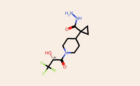 NNC(=O)C1(C2CCN(C(=O)[C@@H](O)C(F)(F)F)CC2)CC1